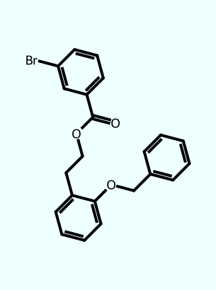 O=C(OCCc1ccccc1OCc1ccccc1)c1cccc(Br)c1